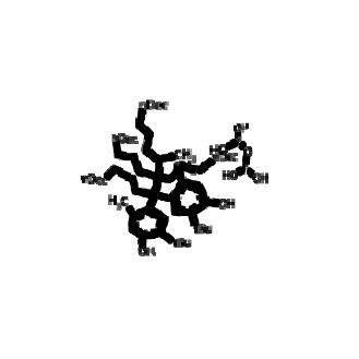 CCCCCCCCCCCCCC(C)C(CCCCCCCCCCCCC)(CCCCCCCCCCCCC)C(CCCCCCCCCCCCC)(c1cc(C(C)(C)C)c(O)cc1C)c1cc(C(C)(C)C)c(O)cc1C.OP(O)OP(O)O